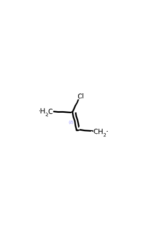 [CH2]/C=C(/[CH2])Cl